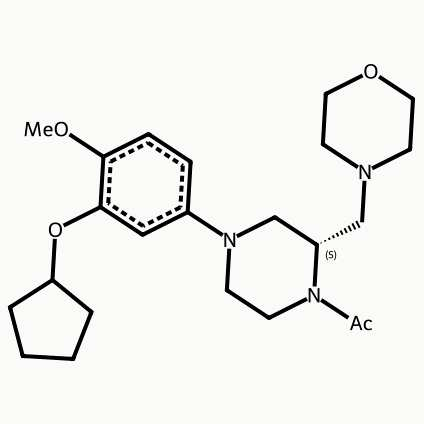 COc1ccc(N2CCN(C(C)=O)[C@@H](CN3CCOCC3)C2)cc1OC1CCCC1